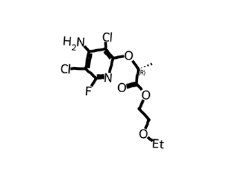 CCOCCOC(=O)[C@@H](C)Oc1nc(F)c(Cl)c(N)c1Cl